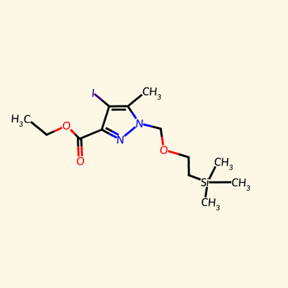 CCOC(=O)c1nn(COCC[Si](C)(C)C)c(C)c1I